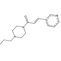 CCCN1CCN(C(=O)C=Cc2cccnc2)CC1